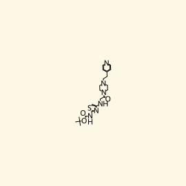 CC(C)(C)OC(=O)Nc1nc(NCC(=O)N2CCN(CCc3ccncc3)CC2)cs1